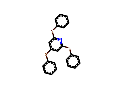 c1ccc(Sc2cc(Sc3ccccc3)nc(Sc3ccccc3)c2)cc1